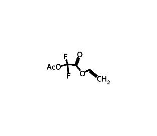 C=COC(=O)C(F)(F)OC(C)=O